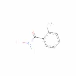 COc1ccccc1C(=O)N(O)Cl